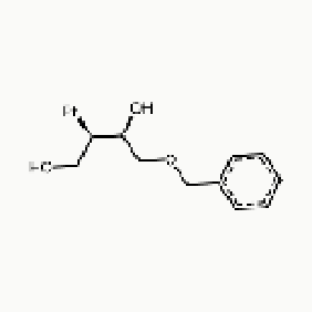 CC[C@H](CO)[C@@H](O)COCc1ccccc1